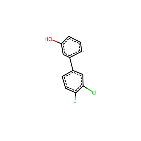 Oc1cc[c]c(-c2ccc(F)c(Cl)c2)c1